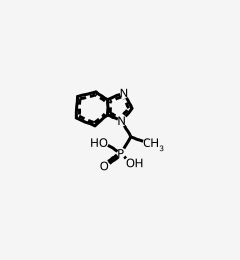 CC(n1cnc2ccccc21)P(=O)(O)O